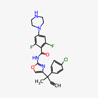 C#CC(C)(c1ccc(Cl)cc1)c1coc(NC(=O)c2c(F)cc(N3CCNCC3)cc2F)n1